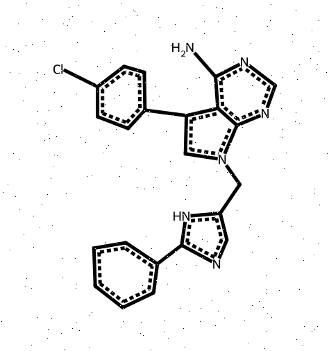 Nc1ncnc2c1c(-c1ccc(Cl)cc1)cn2Cc1cnc(-c2ccccc2)[nH]1